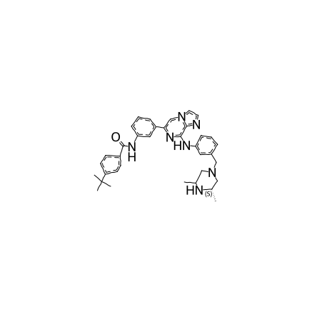 CC1CN(Cc2cccc(Nc3nc(-c4cccc(NC(=O)c5ccc(C(C)(C)C)cc5)c4)cn4ccnc34)c2)C[C@H](C)N1